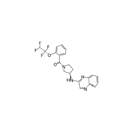 O=C(c1ccccc1OC(F)(F)C(F)F)N1CC[C@@H](Nc2cnc3ccccc3n2)C1